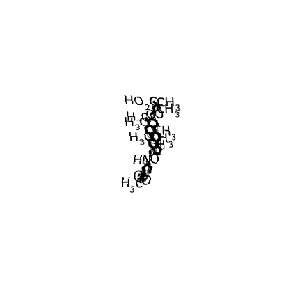 CC(C)(CC(=O)O[C@H]1CC[C@@]2(C)C(CC[C@]3(C)C2CC[C@@H]2[C@H]4CCC[C@]4(CC(=O)N[C@H]4CCN(S(C)(=O)=O)C4)CC[C@]23C)C1(C)C)C(=O)O